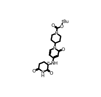 CC(C)(C)OC(=O)N1CCC(n2ccc(N[C@@H]3CCC(=O)NC3=O)cc2=O)CC1